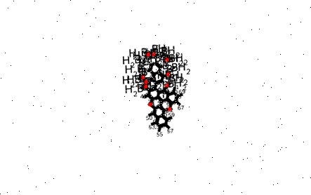 BBB(B)B(B(B)B)c1c(B(B(B)B)B(B)B)c(B(BB)B(B)B)c(B(B)B(B)B)c2c(B(B)BB)c(-c3c(C)c(C)c(C)c4c(-c5c(C)c(C)c6c(C)c(C)c(C)c(C)c6c5C)c5c(C)c(C)c(C)c(C)c5c(C)c34)c(BB)c(B)c12